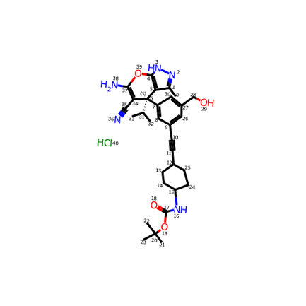 Cc1n[nH]c2c1[C@](c1cc(C#CC3CCC(NC(=O)OC(C)(C)C)CC3)cc(CO)c1)(C(C)C)C(C#N)=C(N)O2.Cl